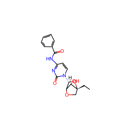 CC[C@]12COC([C@H](n3ccc(NC(=O)c4ccccc4)nc3=O)O1)[C@H]2O